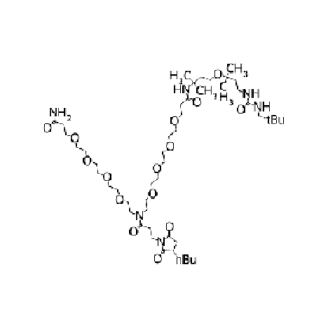 CCCCC1CC(=O)N(CCC(=O)N(CCOCCOCCOCCOCCC(N)=O)CCOCCOCCOCCOCCC(=O)NC(C)(C)CCOC(C)(C)CCNC(=O)NCC(C)(C)C)C1=O